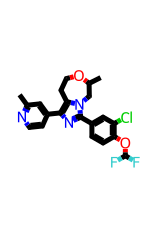 Cc1cc(-c2nc(-c3ccc(OC(F)F)c(Cl)c3)n3c2CCOC(C)C3)ccn1